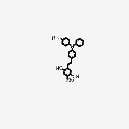 CCCCc1cc(C#N)c(C=Cc2ccc(N(c3ccccc3)c3ccc(C)cc3)cc2)cc1C#N